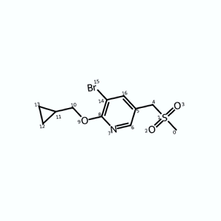 CS(=O)(=O)Cc1cnc(OCC2CC2)c(Br)c1